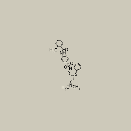 Cc1ccccc1C(=O)Nc1ccc(S(=O)(=O)N2C=CC(CCN(C)C)Sc3ccccc32)cc1